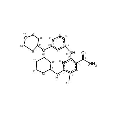 NC(=O)c1cc(F)c(NC2CCCCC2)nc1Nc1cccc(OC2CCOCC2)c1